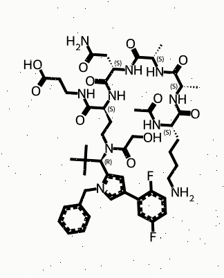 CC(=O)N[C@@H](CCCCN)C(=O)N[C@@H](C)C(=O)N[C@@H](C)C(=O)N[C@@H](CC(N)=O)C(=O)N[C@@H](CCN(C(=O)CO)[C@@H](c1cc(-c2cc(F)ccc2F)cn1Cc1ccccc1)C(C)(C)C)C(=O)NCCC(=O)O